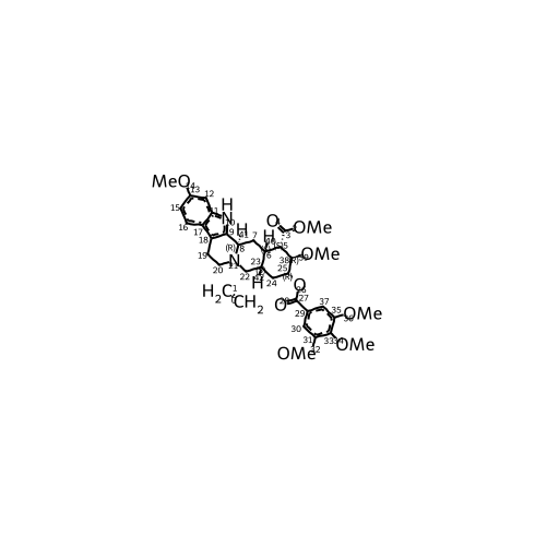 C=C.COC(=O)[C@H]1[C@H]2C[C@@H]3c4[nH]c5cc(OC)ccc5c4CCN3C[C@H]2C[C@@H](OC(=O)c2cc(OC)c(OC)c(OC)c2)[C@@H]1OC